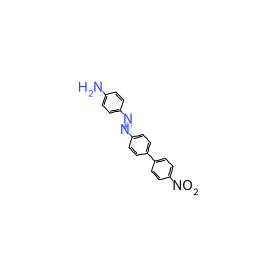 Nc1ccc(/N=N/c2ccc(-c3ccc([N+](=O)[O-])cc3)cc2)cc1